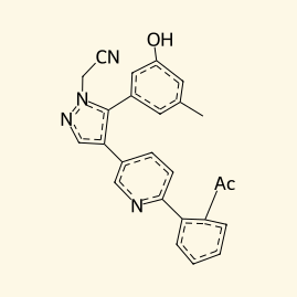 CC(=O)c1ccccc1-c1ccc(-c2cnn(CC#N)c2-c2cc(C)cc(O)c2)cn1